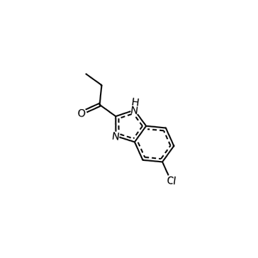 CCC(=O)c1nc2cc(Cl)ccc2[nH]1